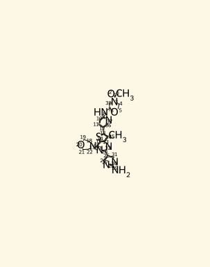 CC(=O)N1CCOC(Nc2ccc(-c3sc4c(N5CCOCC5)nc(-c5cnc(N)nc5)nc4c3C)cn2)C1